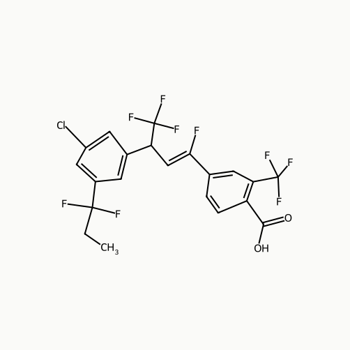 CCC(F)(F)c1cc(Cl)cc(C(/C=C(\F)c2ccc(C(=O)O)c(C(F)(F)F)c2)C(F)(F)F)c1